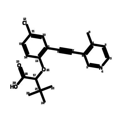 Cc1ccncc1C#Cc1cc(Cl)ccc1OC(C(=O)O)C(C)(C)C